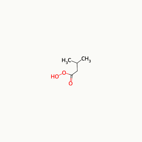 CC(C)CC(=O)OO